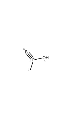 B#P(C)O